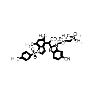 CCOC(=O)C(c1c(C)cc(C)c2c1ccn2S(=O)(=O)c1ccc(C)cc1)c1nc2ccc(C#N)cc2n1COCC[Si](C)(C)C